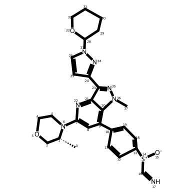 C[C@@H]1COCCN1c1cc(-c2ccc([S+]([O-])C=N)cc2)c2c(n1)c(-c1ccn(C3CCCCO3)n1)nn2C